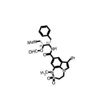 CNC[C@@H](OC=O)[C@H](Cc1ccccc1)NC(=O)c1cc2c3c(c1)c(C(C)C)cn3CCS(=O)(=O)N2C